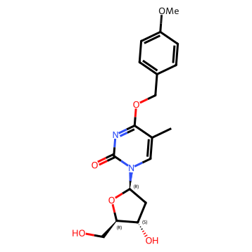 COc1ccc(COc2nc(=O)n([C@H]3C[C@H](O)[C@@H](CO)O3)cc2C)cc1